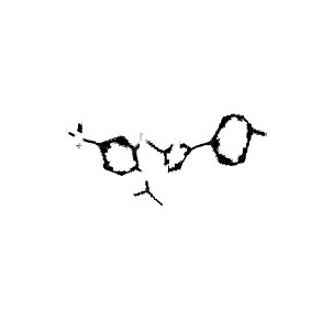 CC(C)Oc1ccc(S(N)(=O)=O)cc1Nc1nc(-c2ccc(Br)cc2)cs1